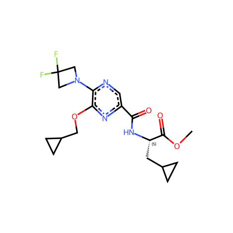 COC(=O)[C@H](CC1CC1)NC(=O)c1cnc(N2CC(F)(F)C2)c(OCC2CC2)n1